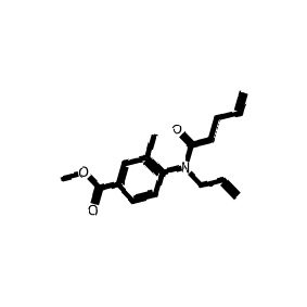 C=CCCC(=O)N(CC=C)c1ccc(C(=O)OC)cc1C